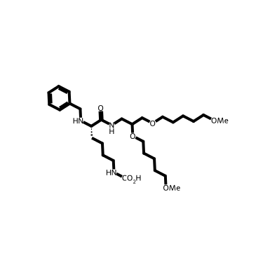 COCCCCCOCC(CNC(=O)[C@H](CCCCNC(=O)O)NCc1ccccc1)OCCCCCOC